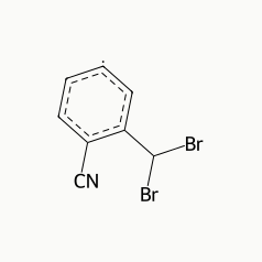 N#Cc1cc[c]cc1C(Br)Br